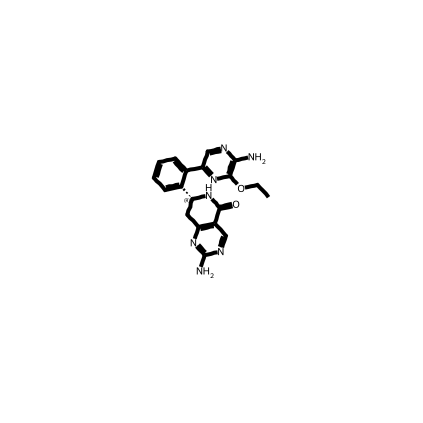 CCOc1nc(-c2ccccc2[C@H]2Cc3nc(N)ncc3C(=O)N2)cnc1N